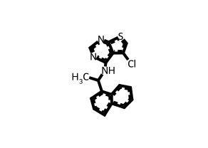 CC(Nc1ncnc2scc(Cl)c12)c1cccc2ccccc12